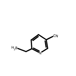 BCc1ccc(C#N)cn1